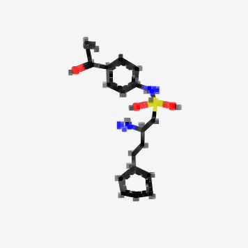 CC(=O)c1ccc(NS(=O)(=O)CC(N)CCc2ccccc2)cc1